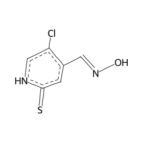 ON=Cc1cc(=S)[nH]cc1Cl